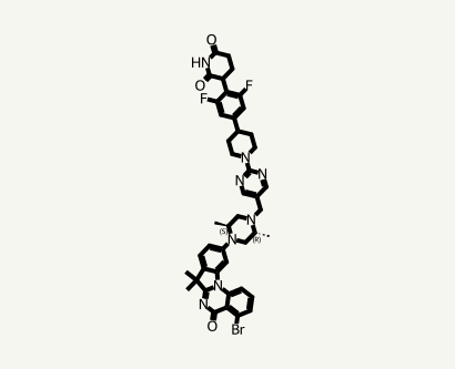 C[C@@H]1CN(c2ccc3c(c2)-n2c(nc(=O)c4c(Br)cccc42)C3(C)C)[C@@H](C)CN1Cc1cnc(N2CCC(c3cc(F)c(C4CCC(=O)NC4=O)c(F)c3)CC2)nc1